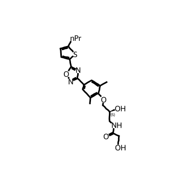 CCCc1ccc(-c2nc(-c3cc(C)c(OC[C@@H](O)CNC(=O)CO)c(C)c3)no2)s1